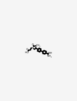 CN1C(=O)N(CCC(=O)O)CC1c1ccc(-c2ccc(C(=N)N)cc2)cc1